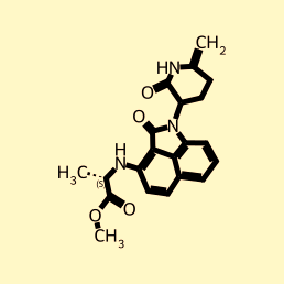 C=C1CCC(N2C(=O)c3c(N[C@@H](C)C(=O)OC)ccc4cccc2c34)C(=O)N1